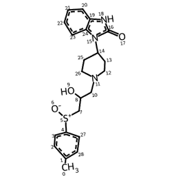 Cc1ccc([S+]([O-])CC(O)CN2CCC(n3c(=O)[nH]c4ccccc43)CC2)cc1